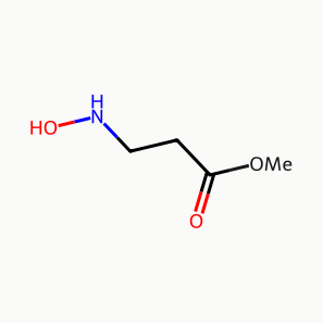 COC(=O)CCNO